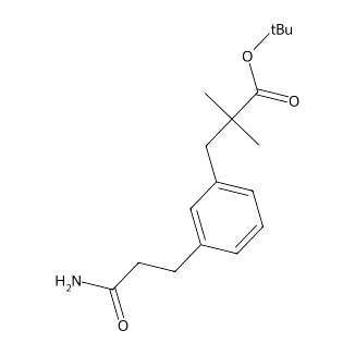 CC(C)(C)OC(=O)C(C)(C)Cc1cccc(CCC(N)=O)c1